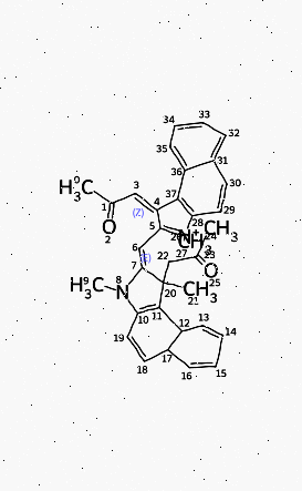 CC(=O)/C=C1\C(/C=C2/N(C)C3=C(C4C=CC=CC4C=C3)C2(C)CC(C)=O)=[N+](C)c2ccc3ccccc3c21